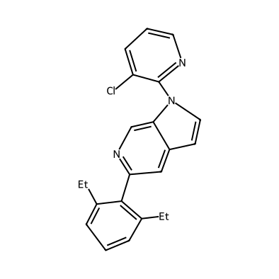 CCc1cccc(CC)c1-c1cc2ccn(-c3ncccc3Cl)c2cn1